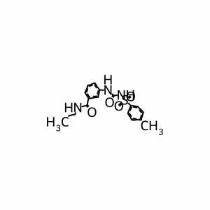 CCCNC(=O)c1cccc(NC(=O)NS(=O)(=O)c2ccc(C)cc2)c1